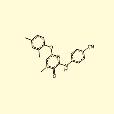 Cc1ccc(Oc2cn(C)c(=O)c(Nc3ccc(C#N)cc3)n2)c(C)c1